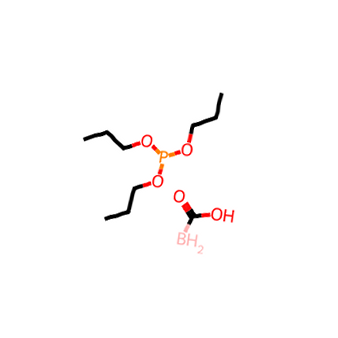 BC(=O)O.CCCOP(OCCC)OCCC